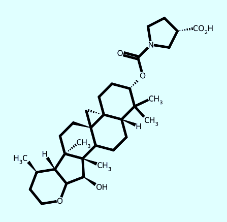 C[C@@H]1CCOC2[C@H]1[C@@]1(C)CC[C@@]34C[C@@]35CC[C@H](OC(=O)N3CC[C@H](C(=O)O)C3)C(C)(C)[C@@H]5CCC4[C@]1(C)[C@H]2O